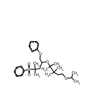 CC(C)OCCC(C)(C)C(C)(C)OC(COc1ccccc1)CC(C)(C)S(=O)(=O)c1ccccc1